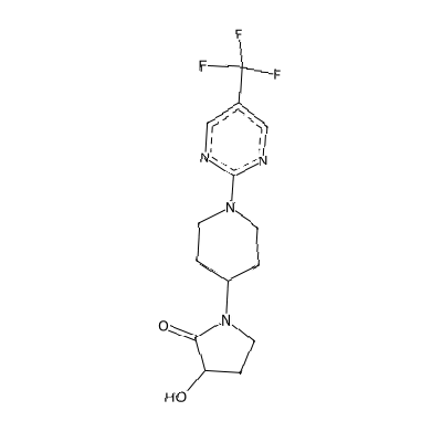 O=C1C(O)CCN1C1CCN(c2ncc(C(F)(F)F)cn2)CC1